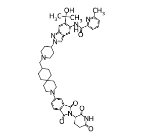 Cc1cccc(C(=O)Nc2cc3cn(C4CCN(CC5CCC6(CC5)CCN(c5ccc7c(c5)C(=O)N(C5CCC(=O)NC5=O)C7=O)CC6)CC4)nc3cc2C(C)(C)O)n1